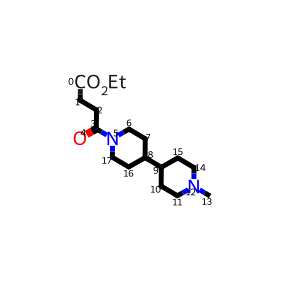 CCOC(=O)CCC(=O)N1CCC(C2CCN(C)CC2)CC1